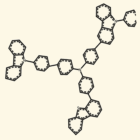 c1ccc(-n2c3ccccc3c3cc(-c4ccc(N(c5ccc(-c6ccc(-n7c8ccccc8c8ccccc87)cc6)cc5)c5ccc(-c6cccc7c6sc6ccccc67)cc5)cc4)ccc32)cc1